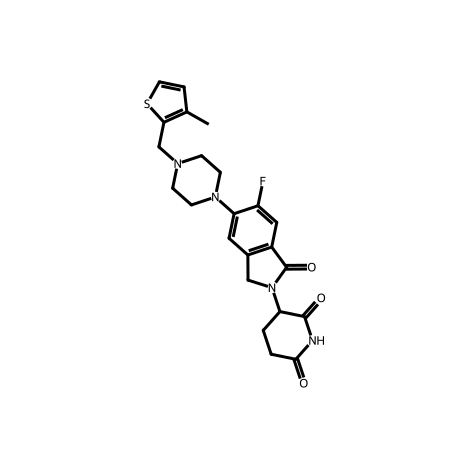 Cc1ccsc1CN1CCN(c2cc3c(cc2F)C(=O)N(C2CCC(=O)NC2=O)C3)CC1